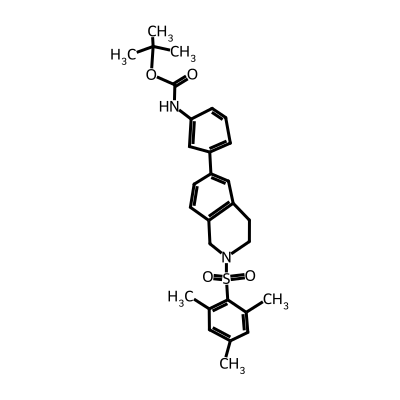 Cc1cc(C)c(S(=O)(=O)N2CCc3cc(-c4cccc(NC(=O)OC(C)(C)C)c4)ccc3C2)c(C)c1